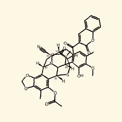 COc1c(C)cc2c(c1O)[C@@H]1C3[C@@H]4SCC(NC(=O)c5cc6ccccc6oc5=O)C(=O)OC[C@@H](c5c6c(c(C)c(OC(C)=O)c54)OCO6)N3[C@@H](C#N)[C@H](C2)N1C